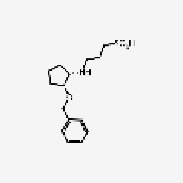 O=S(=O)(O)CCCN[C@H]1CCC[C@@H]1OCc1ccccc1